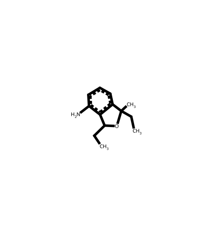 CCC1OC(C)(CC)c2cccc(N)c21